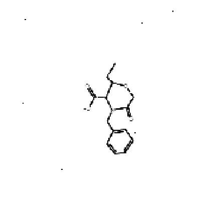 CCC1OCC(=O)N(Cc2ccccc2)[C@H]1C(=O)O